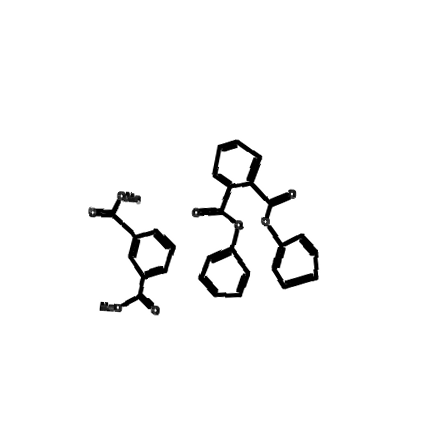 COC(=O)c1cccc(C(=O)OC)c1.O=C(Oc1ccccc1)c1ccccc1C(=O)Oc1ccccc1